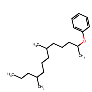 CCCC(C)CCCC(C)CCCC(C)Oc1ccccc1